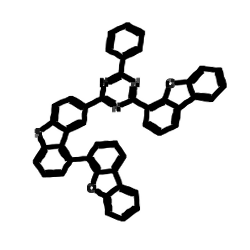 c1ccc(-c2nc(-c3ccc4sc5cccc(-c6cccc7c6oc6ccccc67)c5c4c3)nc(-c3cccc4c3oc3ccccc34)n2)cc1